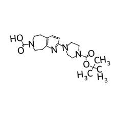 CC(C)(C)OC(=O)N1CCN(c2ccc3c(n2)CCN(C(=O)O)CC3)CC1